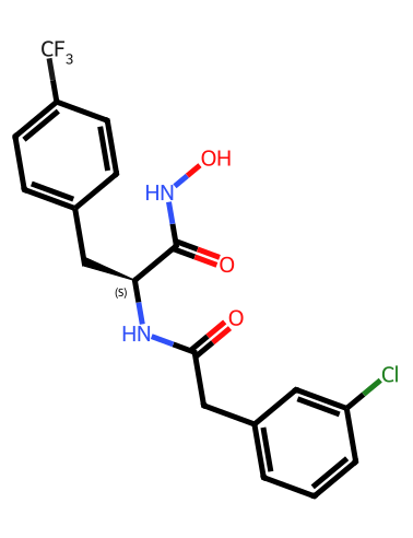 O=C(Cc1cccc(Cl)c1)N[C@@H](Cc1ccc(C(F)(F)F)cc1)C(=O)NO